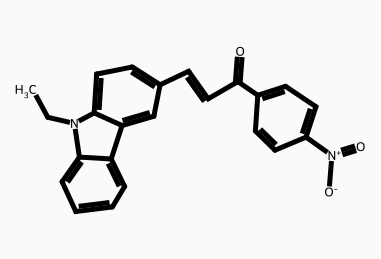 CCn1c2ccccc2c2cc(C=CC(=O)c3ccc([N+](=O)[O-])cc3)ccc21